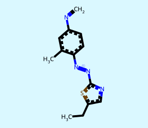 C=Nc1ccc(/N=N/c2ncc(CC)s2)c(C)c1